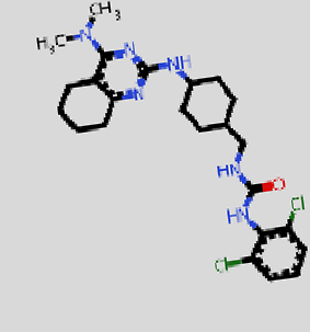 CN(C)c1nc(NC2CCC(CNC(=O)Nc3c(Cl)cccc3Cl)CC2)nc2c1CCCC2